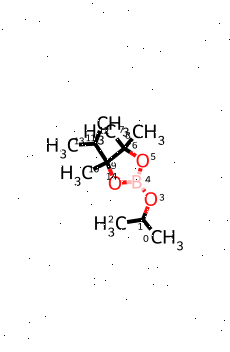 CC(C)OB1OC(C)(C)C(C)(C(C)C)O1